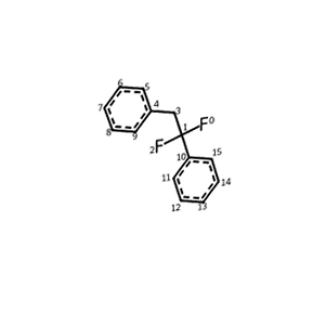 FC(F)(Cc1ccccc1)c1ccccc1